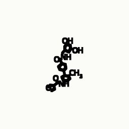 Cc1ccc(NC(=O)c2ccoc2)cc1-c1ccc(C(=O)NCc2cc(O)cc(O)c2)cc1